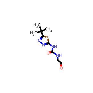 CC(C)(C)c1nnc(NC(=O)NCC=O)s1